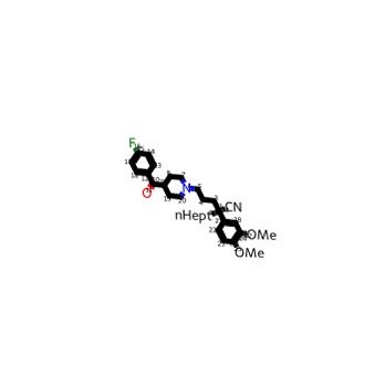 CCCCCCCC(C#N)(CCCN1CCC(C(=O)c2ccc(F)cc2)CC1)c1ccc(OC)c(OC)c1